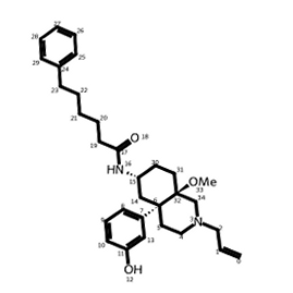 C=CCN1CC[C@@]2(c3cccc(O)c3)C[C@H](NC(=O)CCCCCc3ccccc3)CC[C@]2(OC)C1